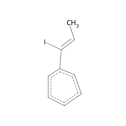 C/C=C(\I)c1ccccc1